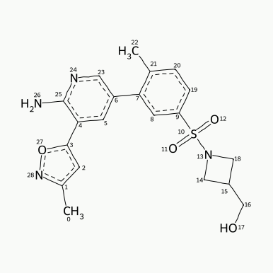 Cc1cc(-c2cc(-c3cc(S(=O)(=O)N4CC(CO)C4)ccc3C)cnc2N)on1